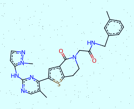 Cc1cccc(CNC(=O)CN2CCc3sc(-c4nc(Nc5ccnn5C)ncc4C)cc3C2=O)c1